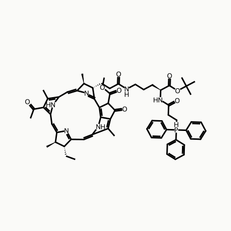 CC[C@H]1c2cc3[nH]c4c(c3C)C(=O)C(C(=O)OC)c4c3nc(cc4[nH]c(cc(n2)[C@@H]1C)c(C(C)=O)c4C)[C@@H](C)[C@@H]3CCC(=O)NCCC[C@H](NC(=O)CC[PH](c1ccccc1)(c1ccccc1)c1ccccc1)C(=O)OC(C)(C)C